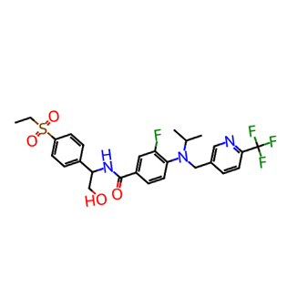 CCS(=O)(=O)c1ccc(C(CO)NC(=O)c2ccc(N(Cc3ccc(C(F)(F)F)nc3)C(C)C)c(F)c2)cc1